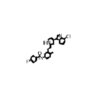 Cc1ccc(NC(=O)c2ccc(F)cc2)cc1CCC1CC(C2=CN=C3C2=CC=CC3Cl)=CCN1